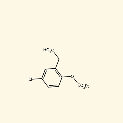 CCOC(=O)Oc1ccc(Cl)cc1CC(=O)O